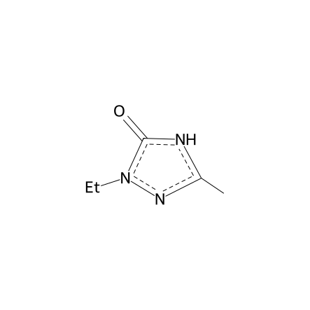 CCn1nc(C)[nH]c1=O